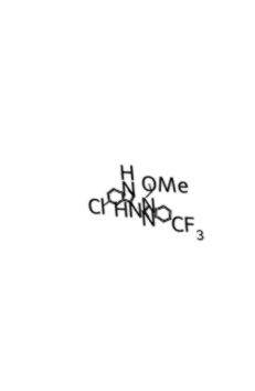 COCCn1c(Nc2c[nH]c3ccc(Cl)cc23)nc2cc(C(F)(F)F)ccc21